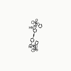 O=S(=O)(Cc1ccccc1)N1CCC[C@H]1c1ncc(-c2ccc(C#Cc3ccc4nc([C@@H]5CCCN5S(=O)(=O)Cc5ccccc5)[nH]c4c3)cc2)[nH]1